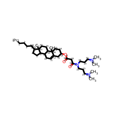 CC(C)CCCCC1CCC2C3CC=C4CC(OC(=O)CC(=O)N(CCCN(C)C)CCCN(C)C)CCC4(C)C3CCC12C